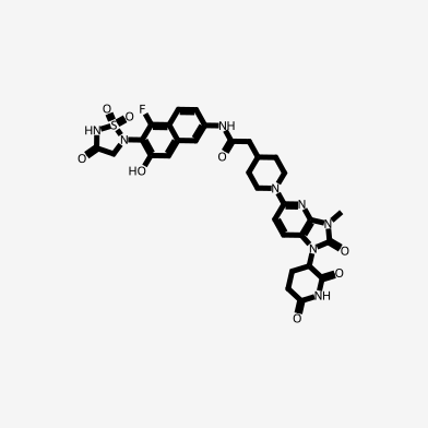 Cn1c(=O)n(C2CCC(=O)NC2=O)c2ccc(N3CCC(CC(=O)Nc4ccc5c(F)c(N6CC(=O)NS6(=O)=O)c(O)cc5c4)CC3)nc21